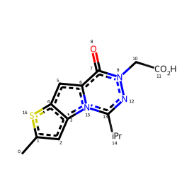 Cc1cc2c(cc3c(=O)n(CC(=O)O)nc(C(C)C)n32)s1